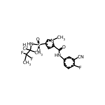 Cn1cc(S(=O)(=O)NC(C)(C)C(C)(F)F)cc1C(=O)Nc1ccc(F)c(C#N)c1